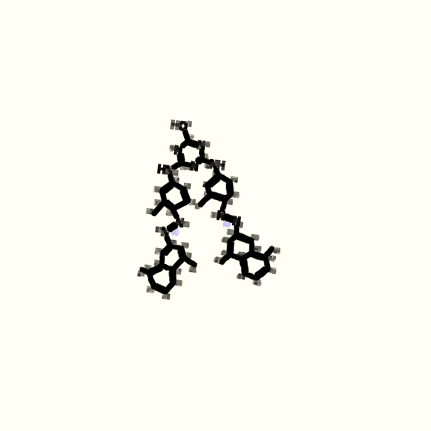 Cc1cc(Nc2nc(O)nc(Nc3ccc(/N=N/c4cc(C)c5cccc(C)c5c4)c(C)c3)n2)ccc1/N=N/c1cc(C)c2cccc(C)c2c1